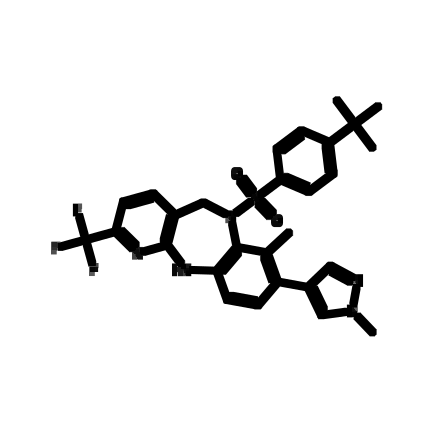 Cc1c(-c2cnn(C)c2)ccc2c1N(S(=O)(=O)c1ccc(C(C)(C)C)cc1)Cc1ccc(C(F)(F)F)nc1N2